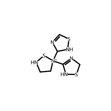 C1=NC([N+]2(C3=NCSN3)CCNS2)NS1